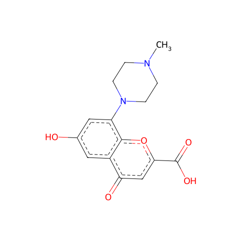 CN1CCN(c2cc(O)cc3c(=O)cc(C(=O)O)oc23)CC1